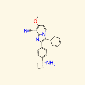 COc1ccn2c(C3C=CC=CC3)c(-c3ccc(C4(N)CCC4)cc3)nc2c1C#N